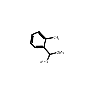 CO[C](OC)c1ccccc1C